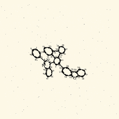 c1ccc(-c2nc(-c3cc(-c4ccc5oc6ccccc6c5c4)cc4c5ccccc5c5ccccc5c34)c3ccccc3n2)cc1